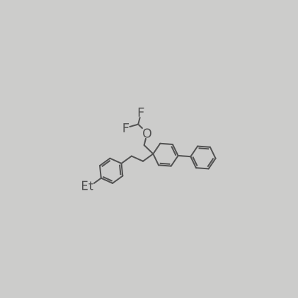 CCc1ccc(CCC2(COC(F)F)C=CC(c3ccccc3)=CC2)cc1